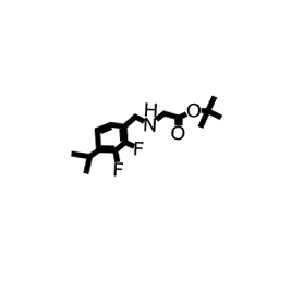 CC(C)c1ccc(CNCC(=O)OC(C)(C)C)c(F)c1F